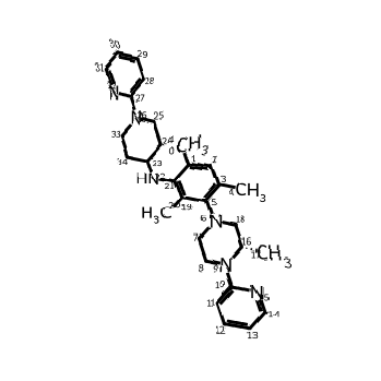 Cc1cc(C)c(N2CCN(c3ccccn3)[C@@H](C)C2)c(C)c1NC1CCN(c2ccccn2)CC1